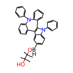 CC(C)(O)C(C)(C)OBc1ccc2c(c1)c1c(n2-c2ccccc2)-c2ccccc2N(c2ccccc2)c2ccccc2-1